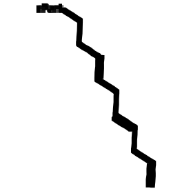 C=CCC=CCC=CCCCCCCC